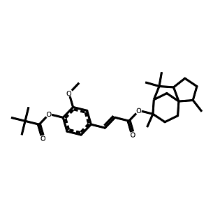 COc1cc(C=CC(=O)OC2(C)CCC34CC2C(C)(C)C3CCC4C)ccc1OC(=O)C(C)(C)C